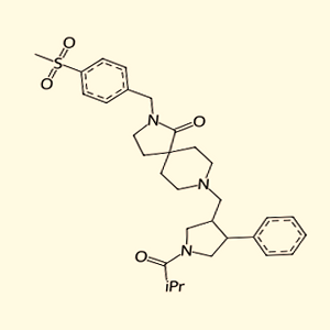 CC(C)C(=O)N1CC(CN2CCC3(CC2)CCN(Cc2ccc(S(C)(=O)=O)cc2)C3=O)C(c2ccccc2)C1